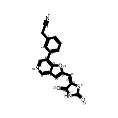 N#CCc1cccc(-c2cncc3cc(/C=C4/SC(=O)NC4=O)oc23)c1